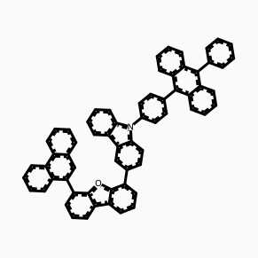 c1ccc(-c2c3ccccc3c(-c3ccc(-n4c5ccccc5c5cc(-c6cccc7c6oc6c(-c8cc9ccccc9c9ccccc89)cccc67)ccc54)cc3)c3ccccc23)cc1